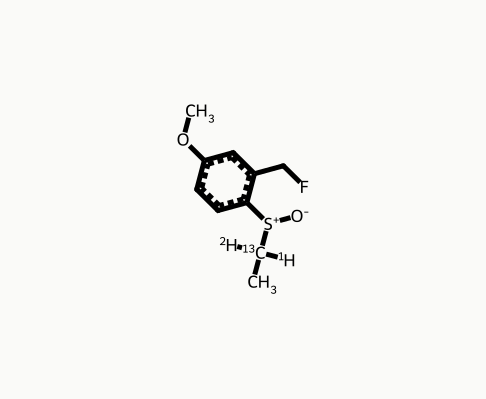 [1H][13C]([2H])(C)[S+]([O-])c1ccc(OC)cc1CF